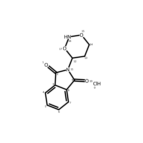 Cl.O=C1c2ccccc2C(=O)N1C1CCONO1